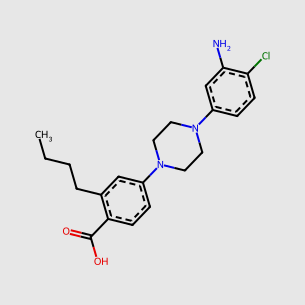 CCCCc1cc(N2CCN(c3ccc(Cl)c(N)c3)CC2)ccc1C(=O)O